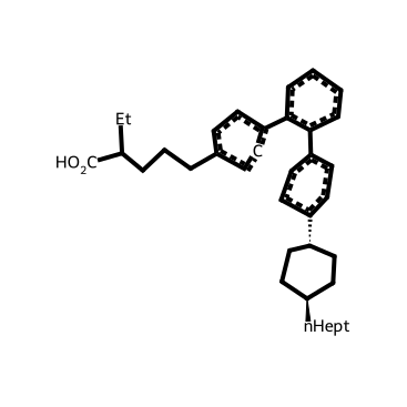 CCCCCCC[C@H]1CC[C@H](c2ccc(-c3ccccc3-c3ccc(CCCC(CC)C(=O)O)cc3)cc2)CC1